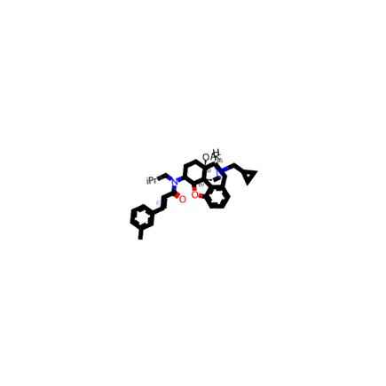 CC(=O)O[C@@]12CCC(N(CC(C)C)C(=O)/C=C/c3cccc(C)c3)C3Oc4cccc5c4[C@@]31CCN(CC1CC1)[C@@H]2C5